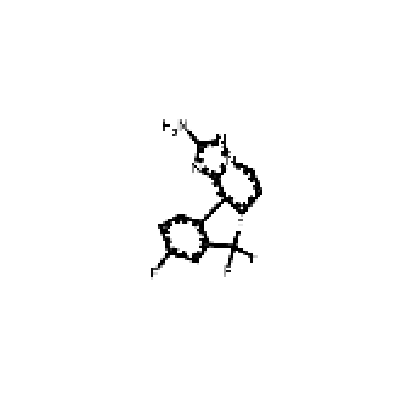 Nc1nc2c(-c3ccc(F)cc3C(F)(F)F)cccn2n1